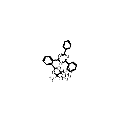 CC1(C)OC(c2ccccc2-c2nc(-c3ccccc3)nc(-c3ccccc3)n2)OC1(C)C